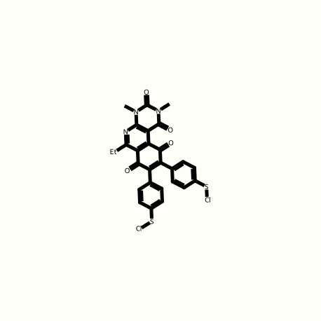 CCc1nc2c(c3c1C(=O)C(c1ccc(SCl)cc1)=C(c1ccc(SCl)cc1)C3=O)c(=O)n(C)c(=O)n2C